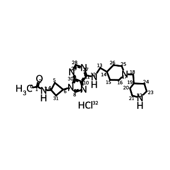 CC(=O)NC1CC(n2cnc3c(NCC4CCN(CC5CCNCC5)CC4)ncnc32)C1.Cl